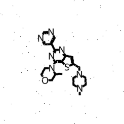 CC1COCCN1c1nc(-c2cncnc2)nc2cc(CN3CCN(C)CC3)sc12